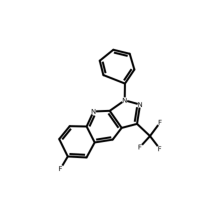 Fc1ccc2nc3c(cc2c1)c(C(F)(F)F)nn3-c1ccccc1